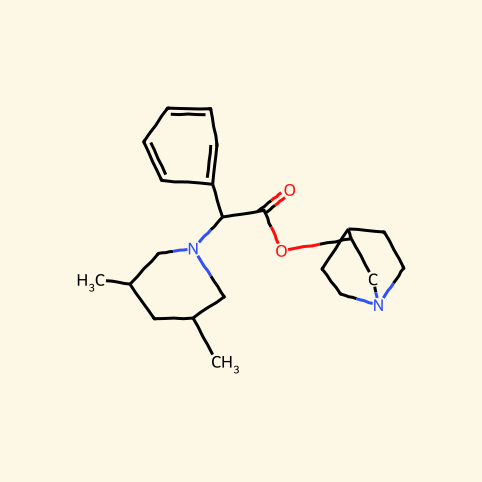 CC1CC(C)CN(C(C(=O)OC2CN3CCC2CC3)c2ccccc2)C1